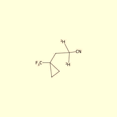 [2H]C([2H])(C#N)CC1(C(F)(F)F)CC1